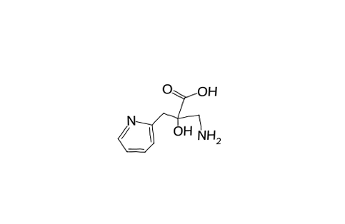 NCC(O)(Cc1ccccn1)C(=O)O